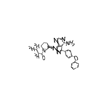 [2H]C([2H])=C([2H])C(=O)N1CCC[C@@H](n2nc(-c3ccc(Oc4ccccc4)cc3)c3c(N)ncnc32)C1